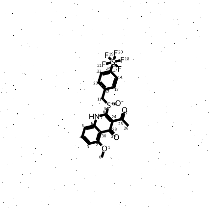 COc1cccc2[nH]c([S+]([O-])Cc3ccc(S(F)(F)(F)(F)F)cc3)c(C(C)=O)c(=O)c12